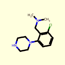 CN(C)Cc1c(Cl)cccc1N1CCNCC1